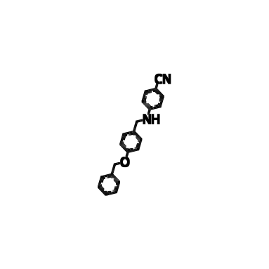 N#Cc1ccc(NCc2ccc(OCc3ccccc3)cc2)cc1